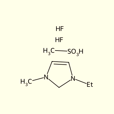 CCN1C=CN(C)C1.CS(=O)(=O)O.F.F